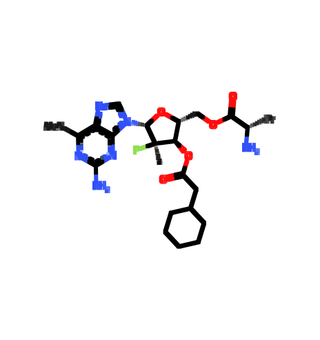 CNc1nc(N)nc2c1ncn2[C@@H]1O[C@H](COC(=O)[C@@H](N)C(C)C)[C@@H](OC(=O)CC2CCCCC2)[C@@]1(C)F